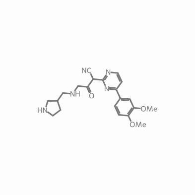 COc1ccc(-c2ccnc(C(C#N)C(=O)CNCC3CCNC3)n2)cc1OC